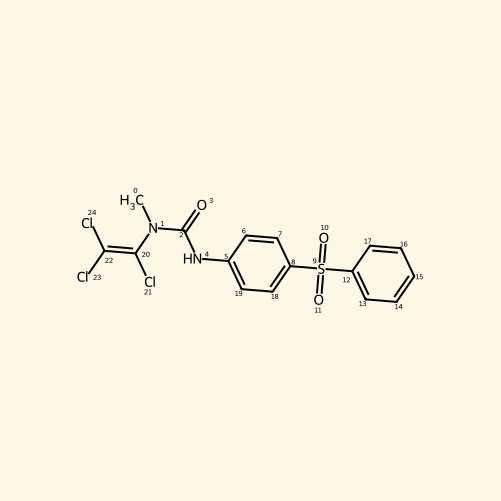 CN(C(=O)Nc1ccc(S(=O)(=O)c2ccccc2)cc1)C(Cl)=C(Cl)Cl